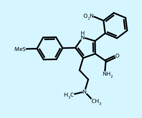 CSc1ccc(-c2[nH]c(-c3ccccc3[N+](=O)[O-])c(C(N)=O)c2CCN(C)C)cc1